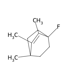 CC1=C(C)C2(F)CCC1(C)CC2